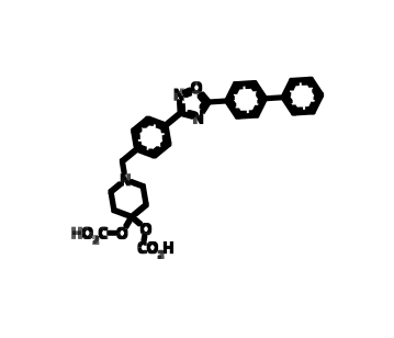 O=C(O)OC1(OC(=O)O)CCN(Cc2ccc(-c3noc(-c4ccc(-c5ccccc5)cc4)n3)cc2)CC1